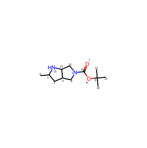 CC1CC2CN(C(=O)OC(C)(C)C)CC2N1